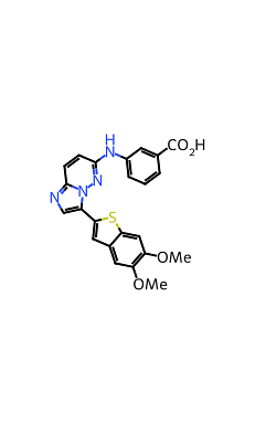 COc1cc2cc(-c3cnc4ccc(Nc5cccc(C(=O)O)c5)nn34)sc2cc1OC